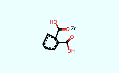 O=C(O)c1ccccc1C(=O)O.[Zr]